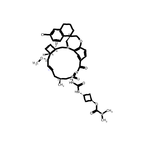 CO[C@H]1/C=C/C[C@H](C)C[S@@](=O)(NC(=O)N[C@H]2C[C@H](OC(=O)N(C)C)C2)=NC(=O)c2ccc3c(c2)N(C[C@@H]2CC[C@H]21)C[C@@]1(CCCc2cc(Cl)ccc21)CO3